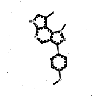 COc1ccc(-c2nn(C)c3c2cnc2[nH]cc(Br)c23)cc1